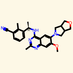 COc1cc2nc(C)nc(N[C@H](C)c3cccc(C#N)c3C)c2cc1N1CC2COCC2C1